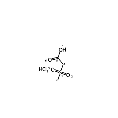 CS(=O)(=O)CC(=O)O.Cl